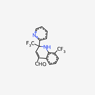 O=CC1=CC(c2ccccn2)(C(F)(F)F)Nc2c1cccc2C(F)(F)F